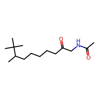 CC(=O)NCC(=O)CCCCCC(C)C(C)(C)C